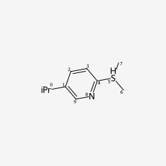 CC(C)c1ccc([SH](C)C)nc1